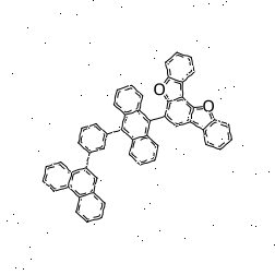 c1cc(-c2c3ccccc3c(-c3cc4c5ccccc5oc4c4c3oc3ccccc34)c3ccccc23)cc(-c2cc3ccccc3c3ccccc23)c1